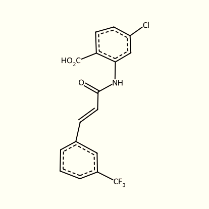 O=C(C=Cc1cccc(C(F)(F)F)c1)Nc1cc(Cl)ccc1C(=O)O